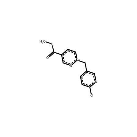 COC(=O)c1cc[n+](Cc2ccc(Cl)nc2)nc1